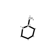 CN1CCCCS1